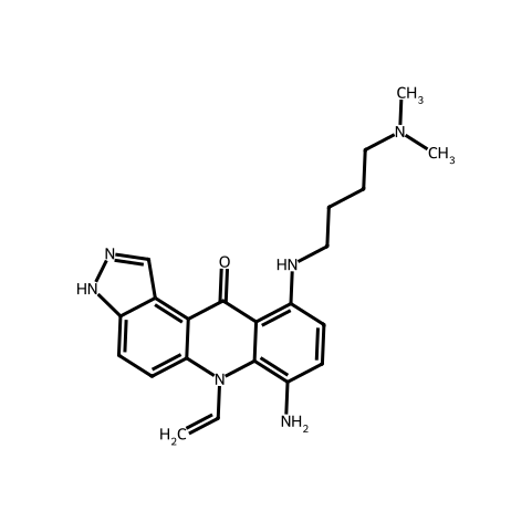 C=Cn1c2ccc3[nH]ncc3c2c(=O)c2c(NCCCCN(C)C)ccc(N)c21